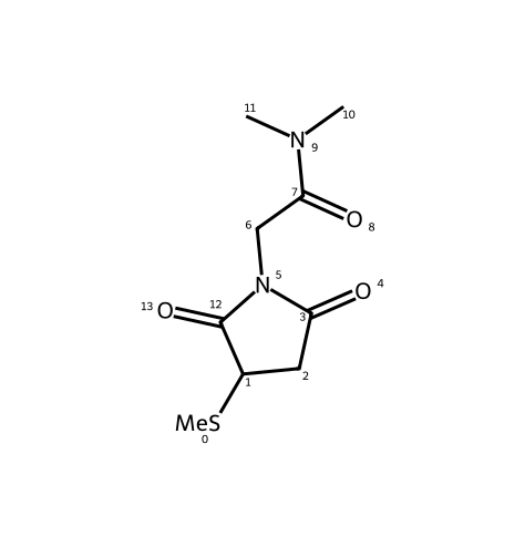 CSC1CC(=O)N(CC(=O)N(C)C)C1=O